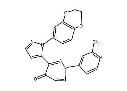 N#Cc1cc(-n2ccc(=O)c(-c3ccnn3-c3ccc4c(c3)OCCO4)n2)ccn1